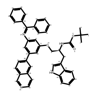 CC(C)(C)OC(=O)N[C@H](COc1cc(N=C(c2ccccc2)c2ccccc2)cc(-c2ccc3cnccc3c2)c1)Cc1c[nH]c2ccccc12